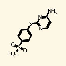 CS(=O)(=O)c1ccc(Sc2nccc(N)n2)cc1